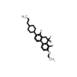 CCCC1CCC(c2ccc3c(c2F)CC(F)(F)c2c-3ccc(OCC)c2F)CC1